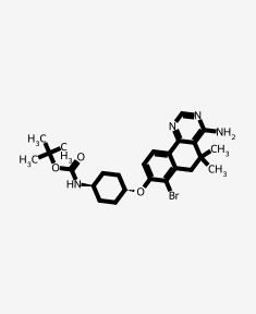 CC(C)(C)OC(=O)N[C@H]1CC[C@H](Oc2ccc3c(c2Br)CC(C)(C)c2c(N)ncnc2-3)CC1